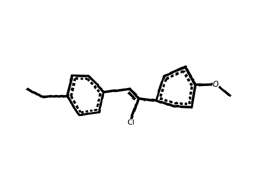 CCc1ccc(/C=C(\Cl)c2ccc(OC)cc2)cc1